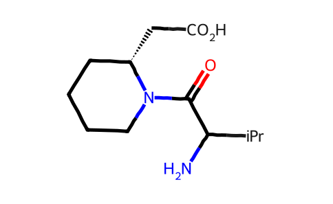 CC(C)C(N)C(=O)N1CCCC[C@@H]1CC(=O)O